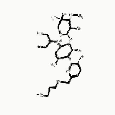 CN[C@@H]1[C@@H](O)[C@@H](O[C@H]2[C@H](NC(CO)CO)C[C@H](N)C([C@H]3OC(CNCCCO)=CC[C@H]3N)[C@@H]2O)OC[C@]1(C)O